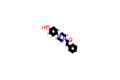 O=C([CH]c1ccccc1)N1CCN(c2ccc(O)cc2)CC1